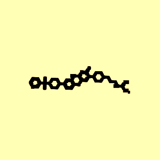 N=C(N)NCCCN1CCC(n2cc3c(nc2=O)Nc2cc(C4CCN(S(=O)(=O)c5cccnc5)CC4)ccc2O3)CC1